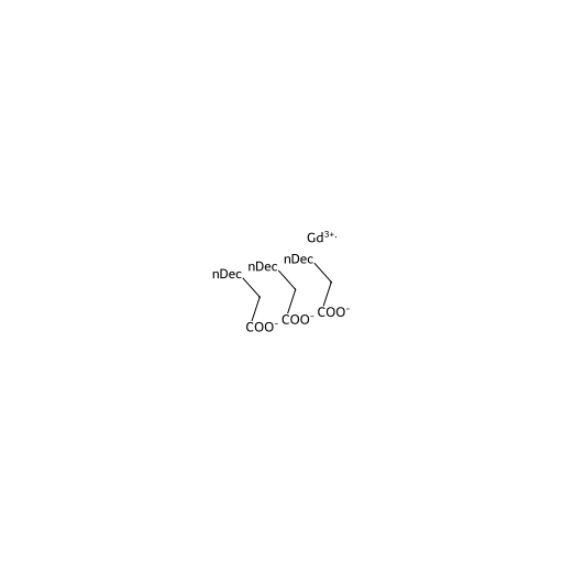 CCCCCCCCCCCC(=O)[O-].CCCCCCCCCCCC(=O)[O-].CCCCCCCCCCCC(=O)[O-].[Gd+3]